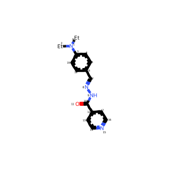 CCN(CC)c1ccc(/C=N/NC(=O)c2ccncc2)cc1